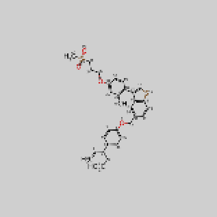 C=CC(CC(=O)O)c1ccc(OCc2ccc3scc(-c4ccc(OCCCS(C)(=O)=O)cc4C)c3c2)cc1